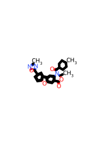 Cc1noc(-c2ccc3oc4cc5c(cc4c3c2)N(C(=O)C2CCC(C)CC2)C(C)OC5=O)n1